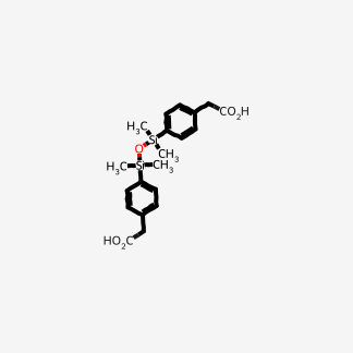 C[Si](C)(O[Si](C)(C)c1ccc(CC(=O)O)cc1)c1ccc(CC(=O)O)cc1